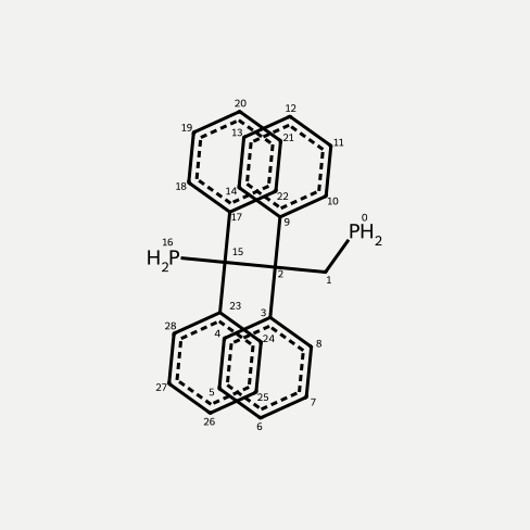 PCC(c1ccccc1)(c1ccccc1)C(P)(c1ccccc1)c1ccccc1